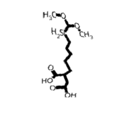 COC(OC)[SiH2]CCCCCC(CC(=O)O)C(=O)O